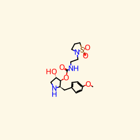 COc1ccc(C[C@H]2NC[C@H](O)[C@H]2OC(=O)NCCN2CCCS2(=O)=O)cc1